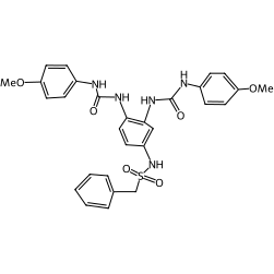 COc1ccc(NC(=O)Nc2ccc(NS(=O)(=O)Cc3ccccc3)cc2NC(=O)Nc2ccc(OC)cc2)cc1